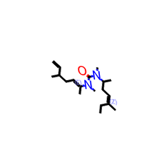 C=CC(C)C/C=C(\C)N(C)C(=O)N(C)C(C)C/C=C(/C)CC